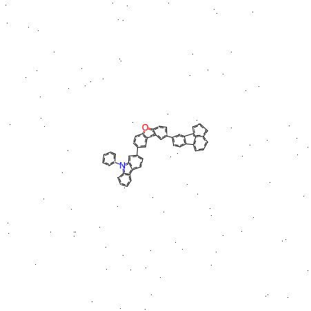 c1ccc(-n2c3ccccc3c3ccc(-c4ccc5oc6ccc(-c7ccc8c(c7)-c7cccc9cccc-8c79)cc6c5c4)cc32)cc1